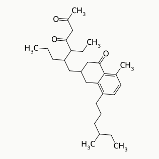 CCCC(CC1CC(=O)c2c(C)ccc(CCCC(C)CC)c2C1)C(CC)C(=O)CC(C)=O